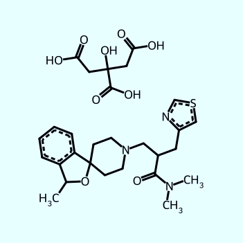 CC1OC2(CCN(CC(Cc3cscn3)C(=O)N(C)C)CC2)c2ccccc21.O=C(O)CC(O)(CC(=O)O)C(=O)O